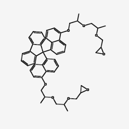 CC(COc1cccc2c(C3(c4cccc5c(OCC(C)OCC(C)OCC6CO6)cccc45)c4ccccc4-c4ccccc43)cccc12)OCC(C)OCC1CO1